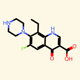 CCc1c(N2CCNCC2)c(F)cc2c(=O)c(C(=O)O)c[nH]c12